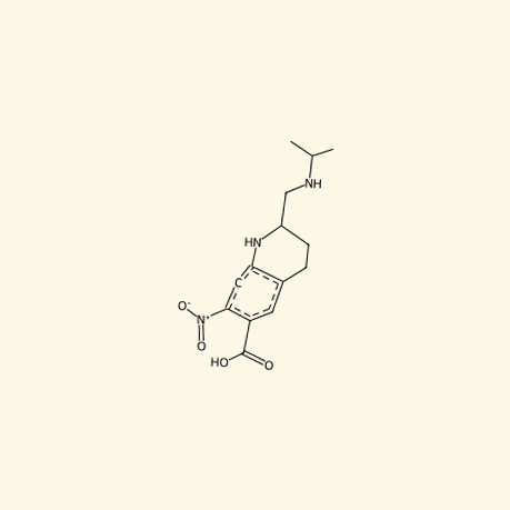 CC(C)NCC1CCc2cc(C(=O)O)c([N+](=O)[O-])cc2N1